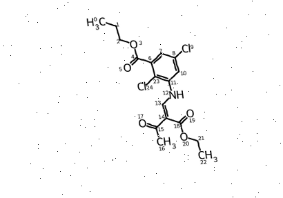 CCCOC(=O)c1cc(Cl)cc(NC=C(C(C)=O)C(=O)OCC)c1Cl